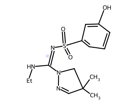 CCN/C(=N/S(=O)(=O)c1cccc(O)c1)N1CC(C)(C)C=N1